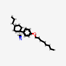 CCCCCCCCOc1ccc([C@]2(C#N)CC[C@H](CCC)CC2)cc1